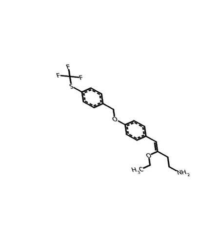 CCOC(=Cc1ccc(OCc2ccc(SC(F)(F)F)cc2)cc1)CCN